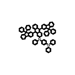 c1ccc(N(c2ccccc2)c2ccc(N(c3ccccc3)c3ccc4c(-c5ccc6c(c5)C(c5ccccc5)(c5ccccc5)c5ccccc5-6)c5ccccc5c(-c5ccc6c(c5)C(c5ccccc5)(c5ccccc5)c5ccccc5-6)c4c3)cc2)cc1